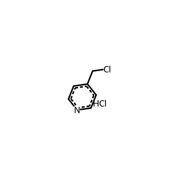 Cl.ClCc1ccncc1